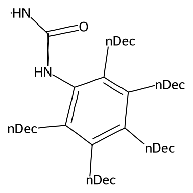 CCCCCCCCCCc1c(CCCCCCCCCC)c(CCCCCCCCCC)c(NC([NH])=O)c(CCCCCCCCCC)c1CCCCCCCCCC